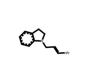 [CH2]CCC=CCN1CCc2ccccc21